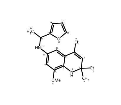 CCC1=CC(C)(CC)Nc2c(OC)cc(NC(C)c3ccco3)cc21